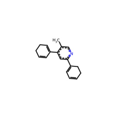 Cc1cnc(C2=CC=CCC2)cc1C1=CCCC=C1